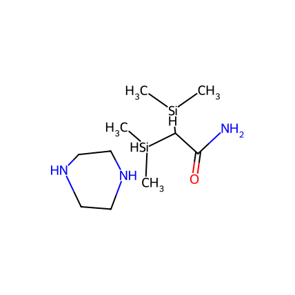 C1CNCCN1.C[SiH](C)C(C(N)=O)[SiH](C)C